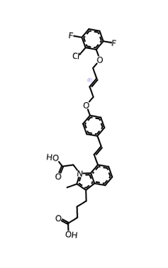 Cc1c(CCCC(=O)O)c2cccc(C=Cc3ccc(OC/C=C/COc4c(F)ccc(F)c4Cl)cc3)c2n1CC(=O)O